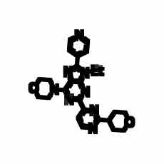 CCn1c(-c2ccncc2)nc2c(N3CCOCC3)nc(-c3ccnc(C4CCOCC4)n3)nc21